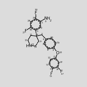 Nc1cc(C2(Cc3ccc(Oc4ccc(F)c(F)c4)cc3)CCNCC2)c(F)cc1F